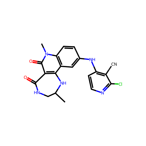 CC1CNC(=O)c2c(c3cc(Nc4ccnc(Cl)c4C#N)ccc3n(C)c2=O)N1